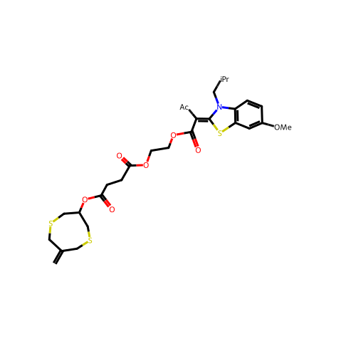 C=C1CSCC(OC(=O)CCC(=O)OCCOC(=O)/C(C(C)=O)=C2\Sc3cc(OC)ccc3N2CC(C)C)CSC1